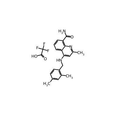 Cc1ccc(CNc2cc(C)nc3c(C(N)=O)cccc23)c(C)c1.O=C(O)C(F)(F)F